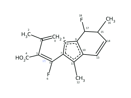 C=C(C)/C(C(=O)O)=C(/F)c1sc2c(c1C)C=CC(C)C2F